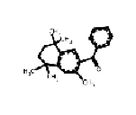 Cc1cc2c(cc1C(=O)c1ccccc1)C(C)(C)CCC2(C)C